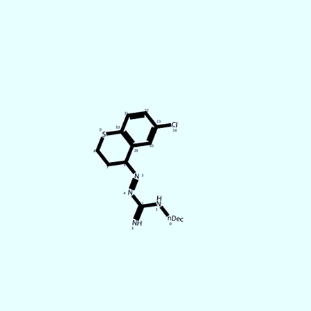 CCCCCCCCCCNC(=N)N=NC1CCSc2ccc(Cl)cc21